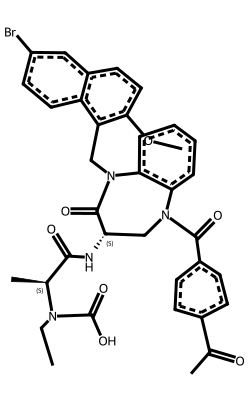 CCN(C(=O)O)[C@@H](C)C(=O)N[C@H]1CN(C(=O)c2ccc(C(C)=O)cc2)c2ccccc2N(Cc2c(OC)ccc3cc(Br)ccc23)C1=O